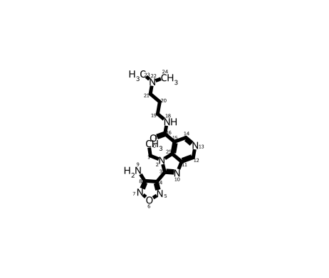 CCn1c(-c2nonc2N)nc2cncc(C(=O)NCCCN(C)C)c21